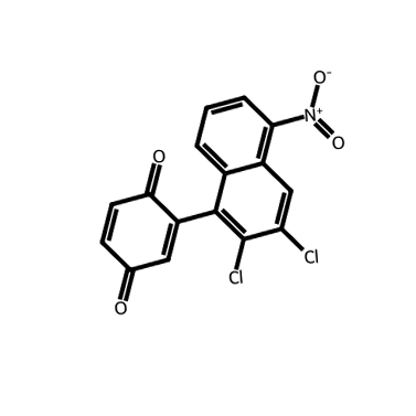 O=C1C=CC(=O)C(c2c(Cl)c(Cl)cc3c([N+](=O)[O-])cccc23)=C1